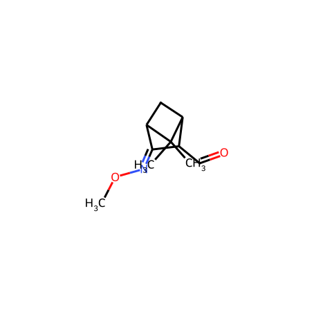 CO/N=C1/C(C=O)C2CC1C2(C)C